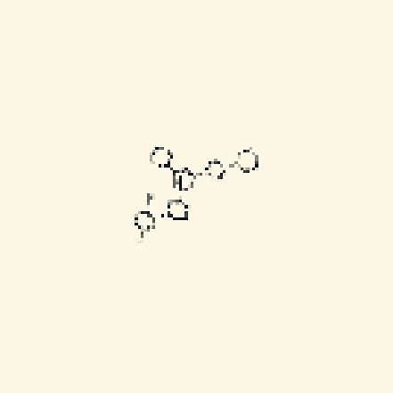 Fc1ccc(F)c(-c2cccc(-c3cc(-c4ccc(-c5ccccc5)cc4)cc(-c4ccccc4)n3)c2)c1